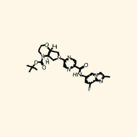 Cc1cn2cc(NC(=O)c3cnc(N4C[C@@H]5[C@@H](C4)OCCN5C(=O)OC(C)(C)C)cn3)cc(F)c2n1